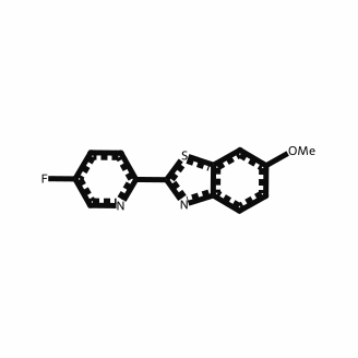 COc1ccc2nc(-c3ccc(F)cn3)sc2c1